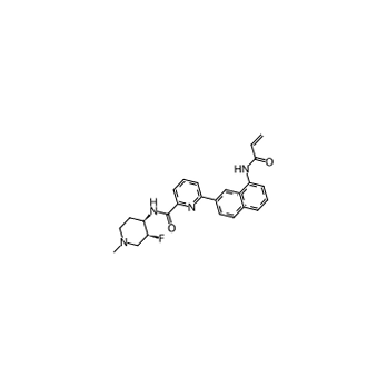 C=CC(=O)Nc1cccc2ccc(-c3cccc(C(=O)N[C@@H]4CCN(C)C[C@@H]4F)n3)cc12